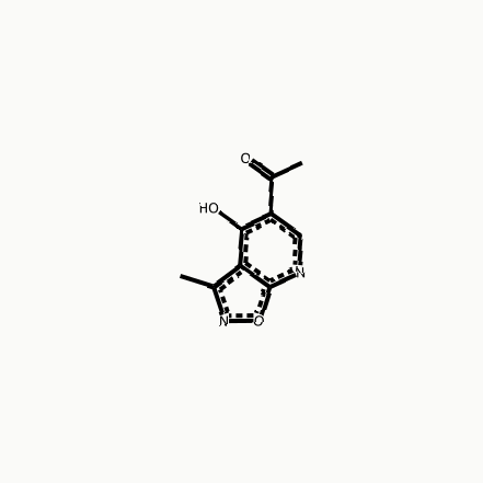 CC(=O)c1cnc2onc(C)c2c1O